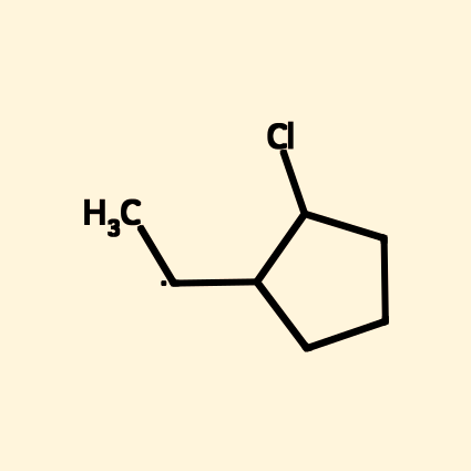 C[CH]C1CCCC1Cl